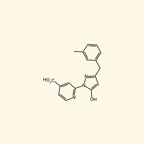 Cc1cccc(Cc2cc(O)n(-c3cc(C(=O)O)ccn3)n2)c1